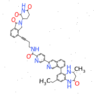 CCc1cc2c(c(-c3cccc4cc(-c5ccc(C(=O)NCCC#Cc6cccc7c6CN(C6CCC(=O)NC6=O)C7=O)nc5)ncc34)c1)N[C@H](C)CC(=O)N2